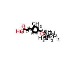 Cc1cc(CO[Si](C)(C)C(C)(C)C)ccc1C=CC(=O)O